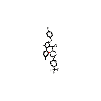 Cc1ccc(-c2c(C)cn(Cc3ccc(F)cc3)c2C(=O)N2CCN(c3ccc(C(F)(F)F)cn3)CC2)cc1